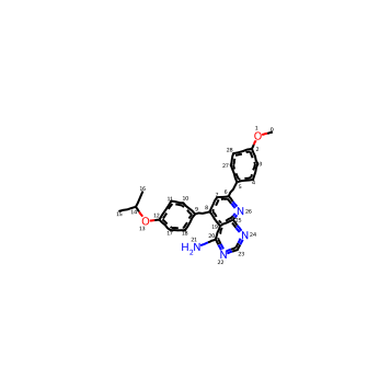 COc1ccc(-c2cc(-c3ccc(OC(C)C)cc3)c3c(N)ncnc3n2)cc1